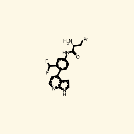 CC(C)C[C@@H](N)C(=O)Nc1ccc(-c2ccnc3[nH]ccc23)c(C(F)F)c1